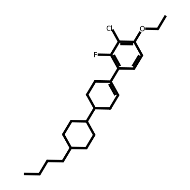 CCCCC1CCC(C2CC=C(c3ccc(OCC)c(Cl)c3F)CC2)CC1